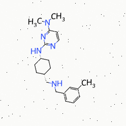 Cc1cccc(CNC[C@H]2CC[C@@H](Nc3nccc(N(C)C)n3)CC2)c1